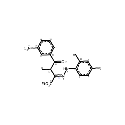 CCOC(=O)/C(=N/Nc1ccc(C)cc1C)C(C)C(=O)c1cccc([N+](=O)[O-])c1